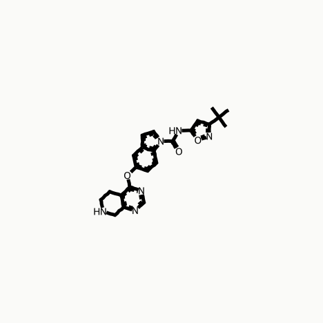 CC(C)(C)c1cc(NC(=O)n2ccc3cc(Oc4ncnc5c4CCNC5)ccc32)on1